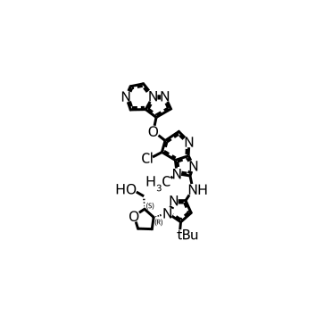 Cn1c(Nc2cc(C(C)(C)C)n([C@@H]3CCO[C@@H]3CO)n2)nc2ncc(Oc3cnn4ccncc34)c(Cl)c21